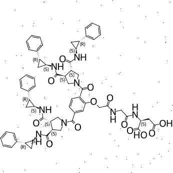 O=C(O)C[C@H](NC(=O)CNC(=O)COc1cc(C(=O)N2C[C@@H](C(=O)N[C@H]3C[C@@H]3c3ccccc3)[C@H](C(=O)N[C@H]3C[C@@H]3c3ccccc3)C2)ccc1C(=O)N1C[C@@H](C(=O)N[C@H]2C[C@@H]2c2ccccc2)[C@H](C(=O)N[C@H]2C[C@@H]2c2ccccc2)C1)C(=O)O